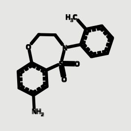 Cc1ccccc1N1CCOc2ccc(N)cc2S1(=O)=O